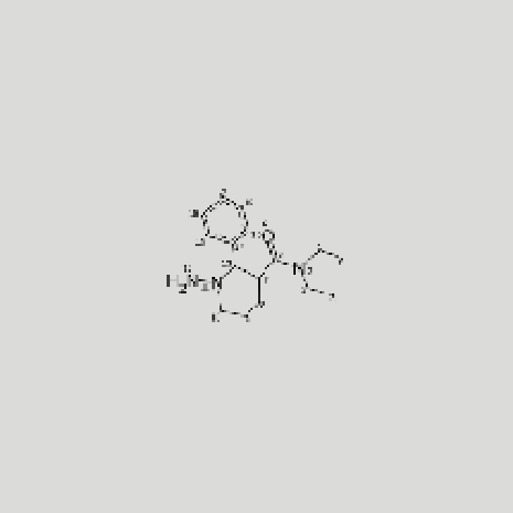 CCN(CC)C(=O)C1CCCN(N)C1c1ccccc1